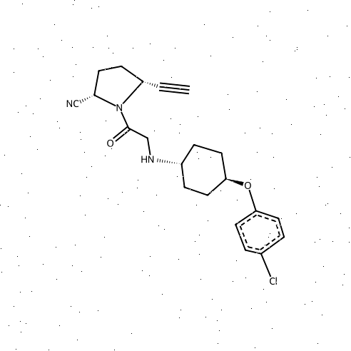 C#C[C@H]1CC[C@@H](C#N)N1C(=O)CN[C@H]1CC[C@H](Oc2ccc(Cl)cc2)CC1